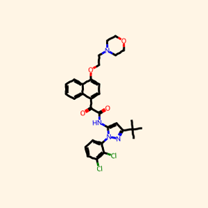 CC(C)(C)c1cc(NC(=O)C(=O)c2ccc(OCCN3CCOCC3)c3ccccc23)n(-c2cccc(Cl)c2Cl)n1